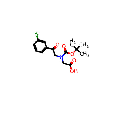 CC(C)(C)OC(=O)N(CC(=O)O)CC(=O)c1cccc(Br)c1